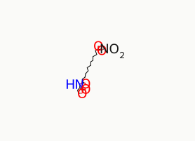 O=C(CCCCCCCCCCCC(=O)O[N+](=O)[O-])NC1CCOC1=O